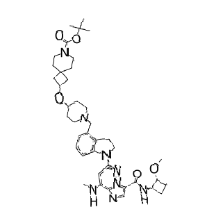 CNc1cc(N2CCc3c(CN4CCC(OC5CC6(CCN(C(=O)OC(C)(C)C)CC6)C5)CC4)cccc32)nn2c(C(=O)N[C@@H]3CC[C@H]3OC)cnc12